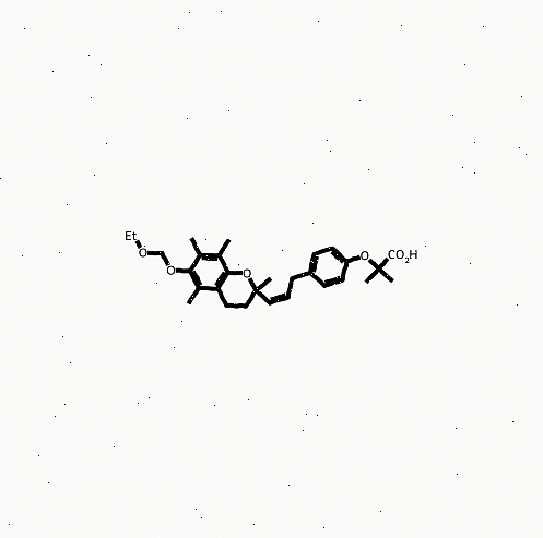 CCOCOc1c(C)c(C)c2c(c1C)CCC(C)(/C=C\Cc1ccc(OC(C)(C)C(=O)O)cc1)O2